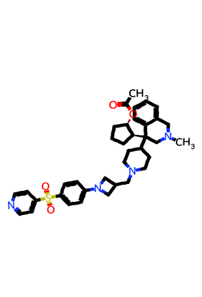 CC(=O)O[C@H]1CCC[C@@H]1C1(C2CCN(CC3CN(c4ccc(S(=O)(=O)c5ccncc5)cc4)C3)CC2)CN(C)Cc2ccccc21